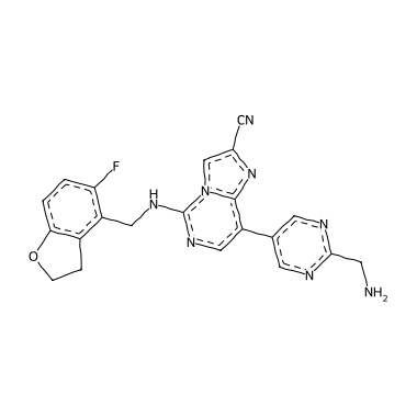 N#Cc1cn2c(NCc3c(F)ccc4c3CCO4)ncc(-c3cnc(CN)nc3)c2n1